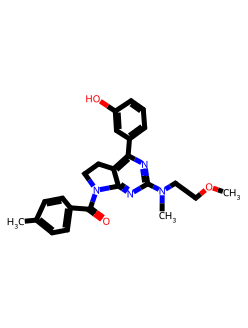 COCCN(C)c1nc(-c2cccc(O)c2)c2c(n1)N(C(=O)c1ccc(C)cc1)CC2